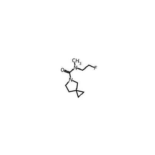 CN(CCF)C(=O)N1CCC2(CC2)C1